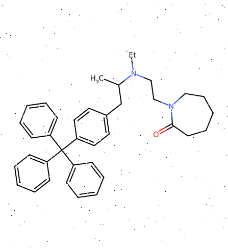 CCN(CCN1CCCCCC1=O)C(C)Cc1ccc(C(c2ccccc2)(c2ccccc2)c2ccccc2)cc1